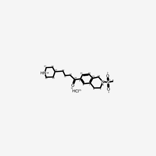 CS(=O)(=O)N1CCc2cc(C(=O)CCCC3CCNCC3)ccc2C1.Cl